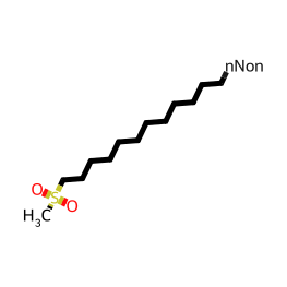 CCCCCCCCCCCCCCCCCCCCCS(C)(=O)=O